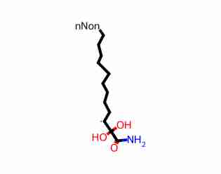 CCCCCCCCCCCCCCCCCC[CH]C(O)(O)C(N)=O